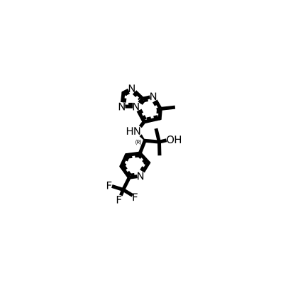 Cc1cc(N[C@H](c2ccc(C(F)(F)F)nc2)C(C)(C)O)n2ncnc2n1